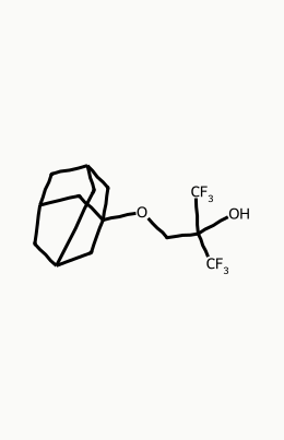 OC(COC12CC3CC(CC(C3)C1)C2)(C(F)(F)F)C(F)(F)F